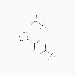 NC(=O)C1CNC1.O=C(O)C(F)(F)F.O=C(O)C(F)(F)F